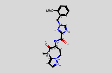 COc1ccccc1Cn1cnc(C(=O)N[C@H]2CCn3nccc3N(C)C2=O)n1